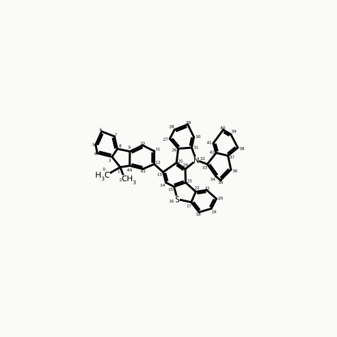 CC1(C)c2ccccc2-c2ccc(-c3cc4sc5ccccc5c4c4c3c3ccccc3n4-c3cccc4ccccc34)cc21